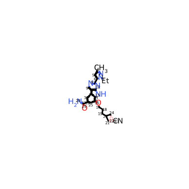 CCn1nc(C)cc1-c1ncc2c(n1)[nH]c1c(OCCCC3CB(C#N)C3)cc(C(N)=O)cc12